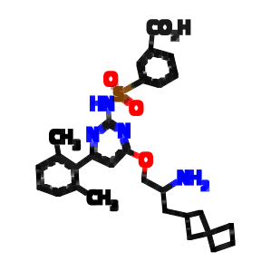 Cc1cccc(C)c1-c1cc(OCC(N)CC2CC3(CCC3)C2)nc(NS(=O)(=O)c2cccc(C(=O)O)c2)n1